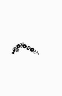 COc1ccc(N2CCN(c3ccc(S(=O)(=O)Oc4ccc5[nH]c(NC(=O)C6CC6)nc5c4)cc3)CC2)cc1